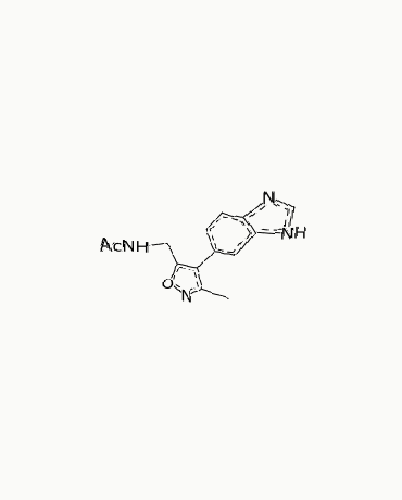 CC(=O)NCc1onc(C)c1-c1ccc2nc[nH]c2c1